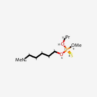 CNCCCCCOP(=S)(OC)OC(C)C